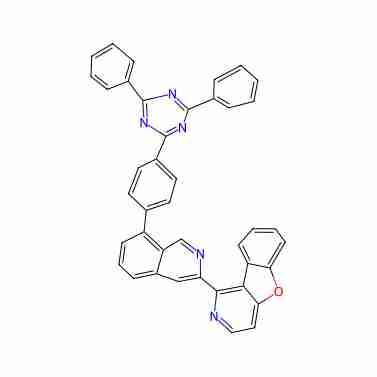 c1ccc(-c2nc(-c3ccccc3)nc(-c3ccc(-c4cccc5cc(-c6nccc7oc8ccccc8c67)ncc45)cc3)n2)cc1